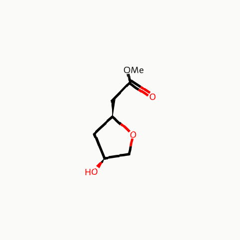 COC(=O)C[C@@H]1C[C@H](O)CO1